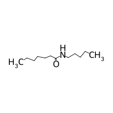 CCCCCCC(=O)NCCCCC